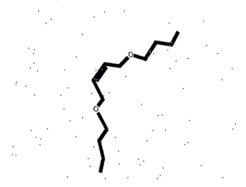 CCCCOC/C=C\COCCCC